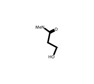 CNC(=O)C[CH]O